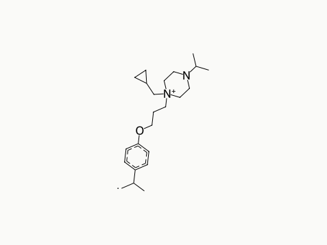 [CH2]C(C)c1ccc(OCCC[N+]2(CC3CC3)CCN(C(C)C)CC2)cc1